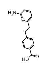 Nc1cccc(CCc2ccc(C(=O)O)cc2)n1